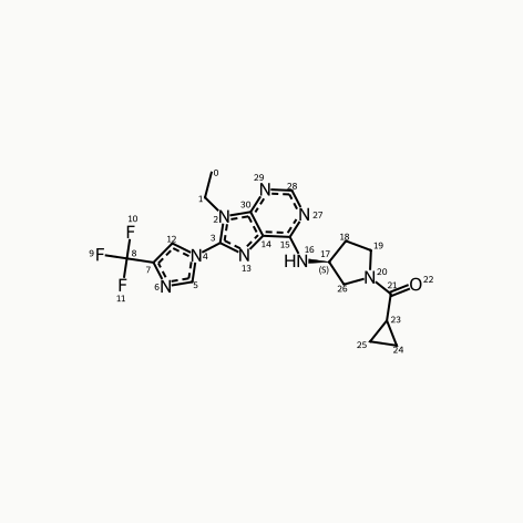 CCn1c(-n2cnc(C(F)(F)F)c2)nc2c(N[C@H]3CCN(C(=O)C4CC4)C3)ncnc21